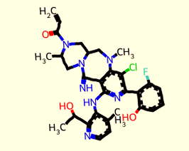 C=CC(=O)N1CC2CN(C)c3c(Cl)c(-c4c(O)cccc4F)nc(Nc4c(C)ccnc4C(C)O)c3C(=N)N2CC1C